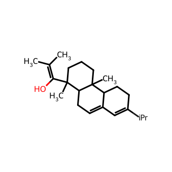 CC(C)=C(O)C1(C)CCCC2(C)C3CCC(C(C)C)=CC3=CCC12